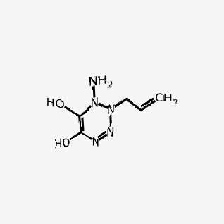 C=CCN1N=NC(O)=C(O)N1N